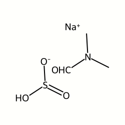 CN(C)C=O.O=S([O-])O.[Na+]